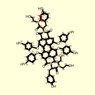 CCCc1ccc(Oc2cc3c4c(cc(Oc5ccc(CCC)cc5)c5c6c(Oc7ccc(CCC)cc7)cc7c8c(cc(Oc9ccc(CCC)cc9)c(c2c45)c86)C(=O)N(C(Cc2ccc(O)cc2)C(=O)N(CCO)CCO)C7=O)C(=O)N(C(Cc2ccc(O)cc2)C(=O)N(CCO)CCO)C3=O)cc1